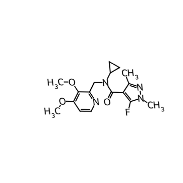 COc1ccnc(CN(C(=O)c2c(C)nn(C)c2F)C2CC2)c1OC